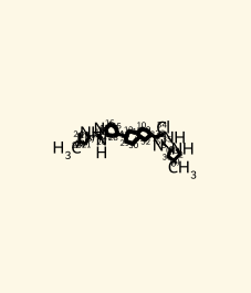 C[C@H]1CN[C@H](c2nc(-c3ccc4cc(-c5ccc6nc([C@@H]7C[C@@H](C)CN7)[nH]c6c5)ccc4c3)c(Cl)[nH]2)C1